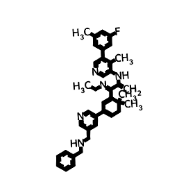 C=C(Nc1cncc(-c2cc(C)cc(F)c2)c1C)/C(=N/CC)C1=CC(c2cncc(CNCc3ccccc3)c2)=CCC1(C)C